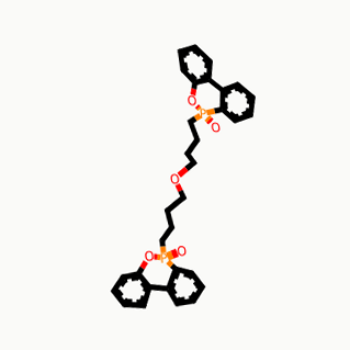 O=P1(CCCCOCCCCP2(=O)Oc3ccccc3-c3ccccc32)Oc2ccccc2-c2ccccc21